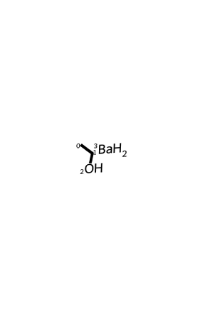 CCO.[BaH2]